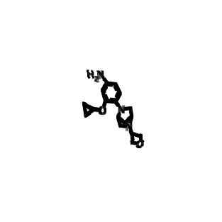 Nc1ccc(N2CC3CC2CN3C2COC2)c(OC2CC2)c1